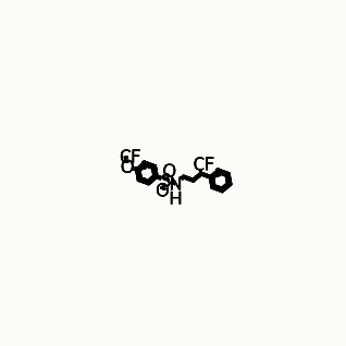 O=S(=O)(NCC[C@H](c1ccccc1)C(F)(F)F)c1ccc(OC(F)(F)F)cc1